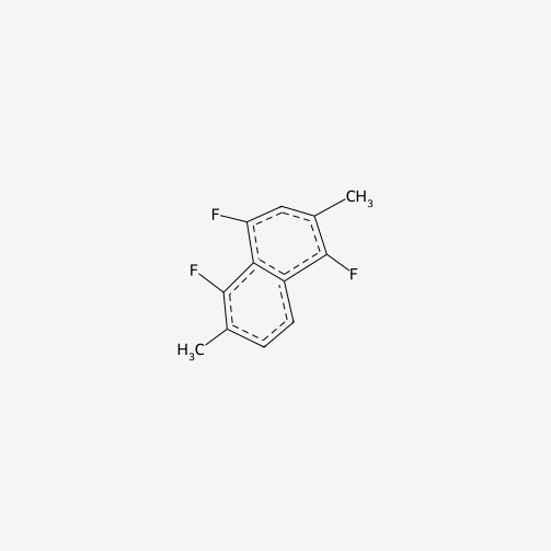 Cc1cc(F)c2c(F)c(C)ccc2c1F